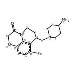 NC1CCN(CC2CCN3C(=O)COc4ccc(F)c2c43)CC1